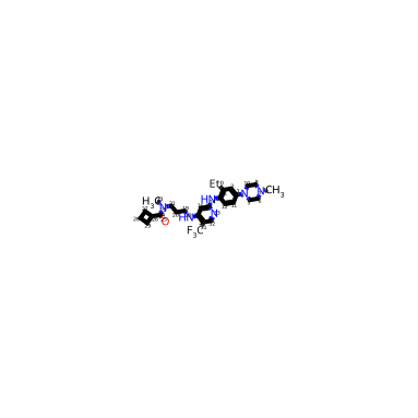 CCc1cc(N2CCN(C)CC2)ccc1Nc1cc(NCCCN(C)C(=O)C2CCC2)c(C(F)(F)F)cn1